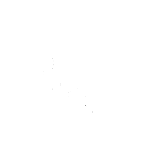 COC(=O)CC(=O)C1CCN(C(C)=O)CC1